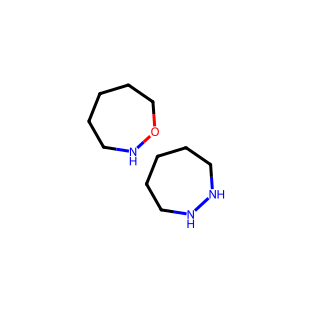 C1CCNNCC1.C1CCNOCC1